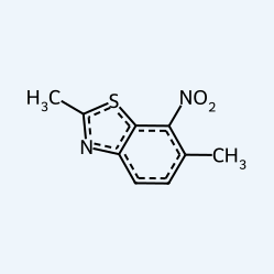 Cc1nc2ccc(C)c([N+](=O)[O-])c2s1